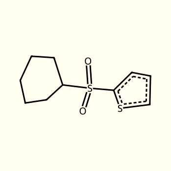 O=S(=O)(c1cccs1)C1CCCCC1